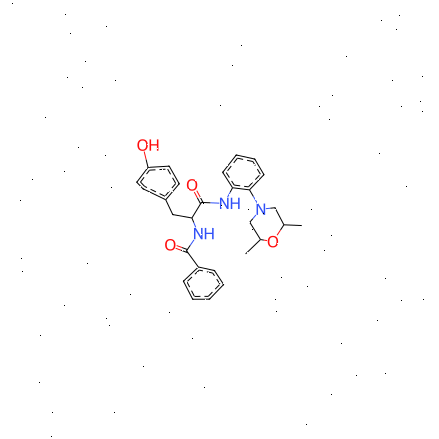 CC1CN(c2ccccc2NC(=O)C(Cc2ccc(O)cc2)NC(=O)c2ccccc2)CC(C)O1